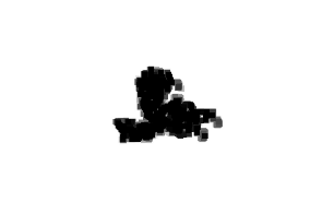 COC(=O)c1nc(-c2cc(-c3ccc(OC(F)(F)F)cc3)n(Cc3ccc(S(N)(=O)=O)c(F)c3)c2CC2CC2)sc1C